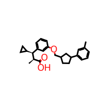 Cc1cccc(C2CCC(COc3cccc([C@H](C4CC4)[C@H](C)C(=O)O)c3)C2)c1